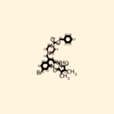 CC1=C(C)C(=O)N(Nc2cc(CN3CCN(C(=O)OCc4ccccc4)CC3)c3ccc(Br)cc3n2)C1=O